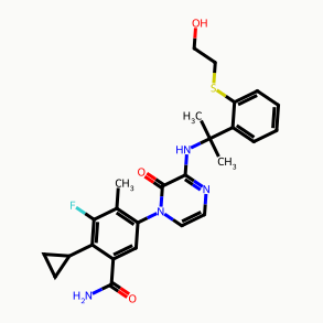 Cc1c(-n2ccnc(NC(C)(C)c3ccccc3SCCO)c2=O)cc(C(N)=O)c(C2CC2)c1F